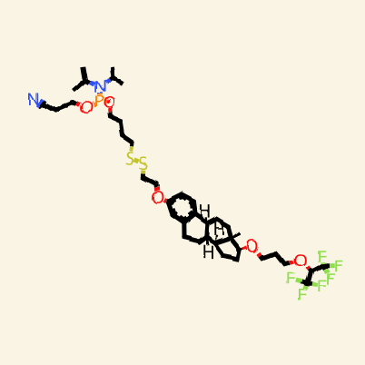 CC(C)N(C(C)C)P(OCCC#N)OCCCCSSCCOc1ccc2c(c1)CC[C@@H]1[C@@H]2CC[C@]2(C)[C@@H](OCCCOC(C(F)(F)F)C(F)(F)F)CC[C@@H]12